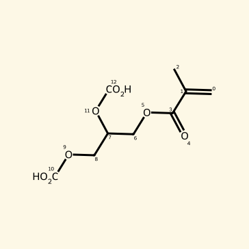 C=C(C)C(=O)OCC(COC(=O)O)OC(=O)O